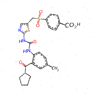 Cc1ccc(NC(=O)Nc2ncc(CS(=O)(=O)c3ccc(C(=O)O)cc3)s2)c(C(=O)C2CCCC2)c1